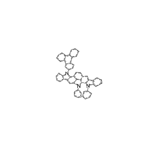 c1ccc(-n2c3ccccc3c3cc4ccc5c6c4c(c32)n(-c2ccccc2)c6cc2c3ccccc3n(-c3ccc4c6ccccc6c6ccccc6c4c3)c25)cc1